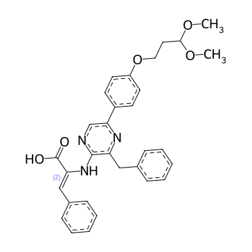 COC(CCOc1ccc(-c2cnc(N/C(=C\c3ccccc3)C(=O)O)c(Cc3ccccc3)n2)cc1)OC